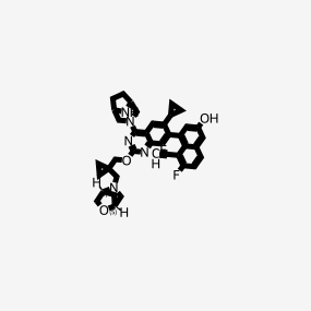 C#Cc1c(F)ccc2cc(O)cc(-c3c(C4CC4)cc4c(N5CC6CCC(C5)N6)nc(OCC5(CN6C[C@@H]7C[C@H]6CO7)CC5)nc4c3F)c12